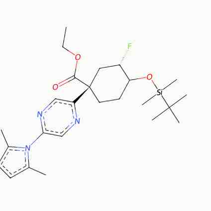 CCOC(=O)[C@@]1(c2cnc(-n3c(C)ccc3C)cn2)CCC(O[Si](C)(C)C(C)(C)C)[C@@H](F)C1